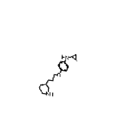 c1cc(OCCCC2CCCNC2)ccc1NC1CC1